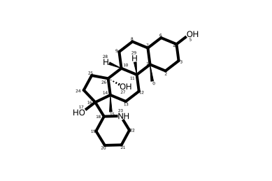 C[C@]12CCC(O)CC1CC[C@@H]1[C@H]2CC[C@]2(C)C(O)(C3CCCCN3)CC[C@@]12O